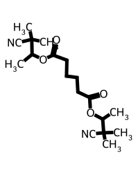 CC(OC(=O)CCCCC(=O)OC(C)C(C)(C)C#N)C(C)(C)C#N